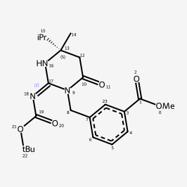 COC(=O)c1cccc(CN2C(=O)C[C@@](C)(C(C)C)N/C2=N/C(=O)OC(C)(C)C)c1